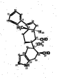 C[C@@]1([C@H]2CC[C@]3(C)C(c4ccccc4)=CC[C@H]3[C@@H]2C=O)Cc2cn[nH]c2C[C@@H]1C=O